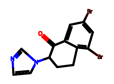 O=C1c2cc(Br)cc(Br)c2CCC1n1ccnc1